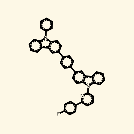 Fc1ccc(-c2cccc(-n3c4ccccc4c4cc(-c5ccc(-c6ccc7c(c6)c6ccccc6n7-c6ccccc6)cc5)ccc43)n2)cc1